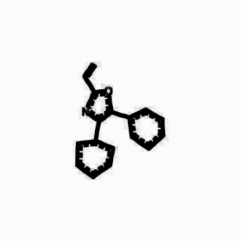 C=Cc1nc(-c2ccccc2)c(-c2ccccc2)o1